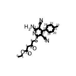 CCOC(=O)CC(=O)CSc1nc(N)c(C#N)c(-c2ccc(C)cc2)c1C#N